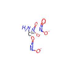 O=N[O-].O=N[O-].O=N[O-].[C+3]N